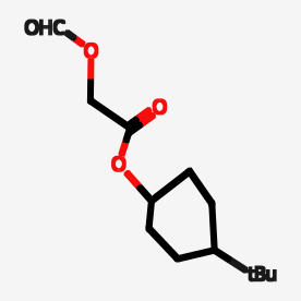 CC(C)(C)C1CCC(OC(=O)COC=O)CC1